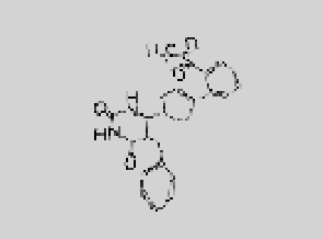 CS(=O)(=O)c1ccccc1C1=CCC(c2[nH]c(=O)[nH]c(=O)c2Cc2ccccc2)CC1